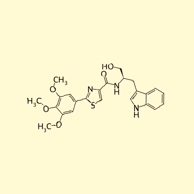 COc1cc(-c2nc(C(=O)N[C@@H](CO)Cc3c[nH]c4ccccc34)cs2)cc(OC)c1OC